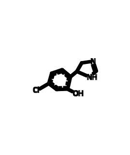 Oc1cc(Cl)ccc1C1CN=CN1